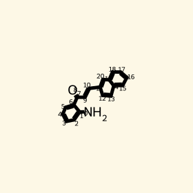 Nc1ccccc1C(=O)/C=C/c1ccc2ccccc2c1